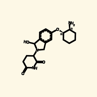 N[C@H]1CCCC[C@@H]1Oc1ccc2c(c1)CN(C1CCC(=O)NC1=O)C2O